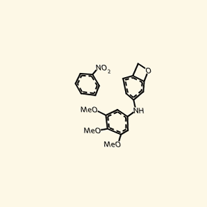 COc1cc(Nc2ccc3c(c2)OC3)cc(OC)c1OC.O=[N+]([O-])c1ccccc1